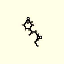 CCC1OC1CC(C)C1CCC2OC2C1